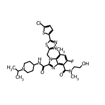 Cc1cc(F)c(C(=O)N(C)CCO)c2nc(C(=O)NC3CCN(C(C)C)CC3)n(Cc3nnc(-c4ccc(Cl)s4)s3)c12